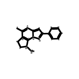 Cc1nc2cc(-c3ccccc3)nn2c2c1CCN2C(C)(C)C